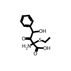 CCSC(N)(C(=O)O)C(=O)C(O)c1ccccc1